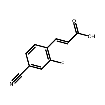 N#Cc1ccc(C=CC(=O)O)c(F)c1